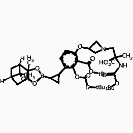 CC(C)(C)OC(=O)NC(C)(CN1CC(Oc2ccc(C3CC3B3OC4C[C@@H]5C[C@@H](C5(C)C)[C@]4(C)O3)c(OC(=O)OC(C)(C)C)c2C(=O)OC(C)(C)C)C1)C(=O)O